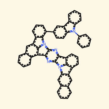 c1ccc(-n2c3ccccc3c3cc(-c4cccc5c6cc7ccccc7c7c8nc9c(nc8n(c45)c67)c4cccc5c6cc7ccccc7cc6n9c54)ccc32)cc1